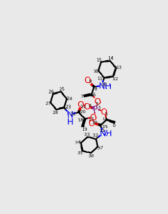 C=C(OP(=O)(OC(=C)C(=O)NC1CCCCC1)OC(=C)C(=O)NC1CCCCC1)C(=O)NC1CCCCC1